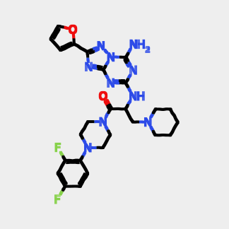 Nc1nc(NC(CN2CCCCC2)C(=O)N2CCN(c3ccc(F)cc3F)CC2)nc2nc(-c3ccco3)nn12